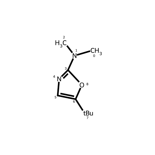 CN(C)c1ncc(C(C)(C)C)o1